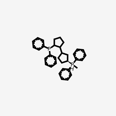 C[PH](c1ccccc1)(c1ccccc1)[C@H]1CCC(C2CCCC2P(c2ccccc2)c2ccccc2)C1